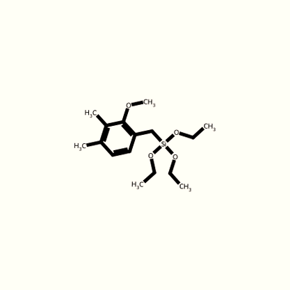 CCO[Si](Cc1ccc(C)c(C)c1OC)(OCC)OCC